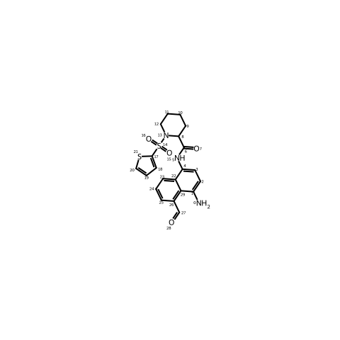 Nc1ccc(NC(=O)C2CCCCN2S(=O)(=O)c2cccs2)c2cccc(C=O)c12